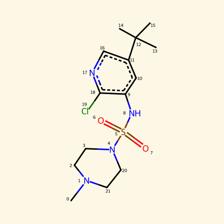 CN1CCN(S(=O)(=O)Nc2cc(C(C)(C)C)cnc2Cl)CC1